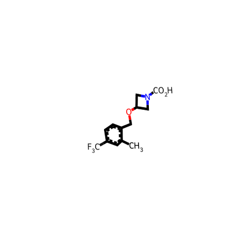 Cc1cc(C(F)(F)F)ccc1COC1CN(C(=O)O)C1